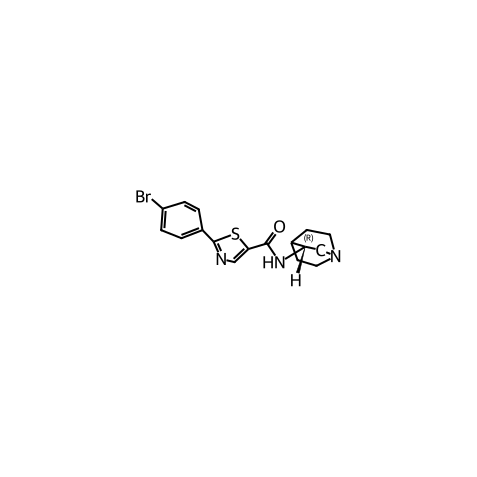 O=C(N[C@H]1CN2CCC1CC2)c1cnc(-c2ccc(Br)cc2)s1